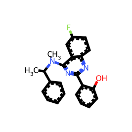 CC(c1ccccc1)N(C)c1nc(-c2ccccc2O)nc2ccc(F)cc12